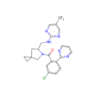 O=C(c1cc(Cl)ccc1-c1ncccn1)N1CC2(CC2)CC1CNc1ncc(C(F)(F)F)cn1